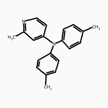 Cc1ccc(N(c2ccc(C)cc2)c2ccnc(C)c2)cc1